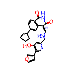 O=C1NC(=O)c2ccc(C3CCCC3)cc2/C1=C\NCc1cc(O)c(-c2ccoc2)cn1